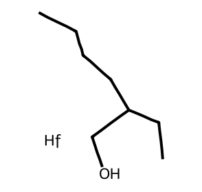 CCCCC(CC)CO.[Hf]